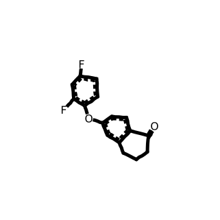 O=C1CCCc2cc(Oc3ccc(F)cc3F)ccc21